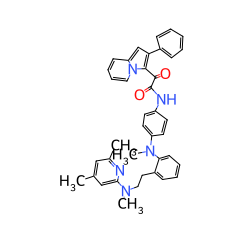 Cc1cc(C)nc(N(C)CCc2ccccc2N(C)c2ccc(NC(=O)C(=O)c3c(-c4ccccc4)cc4ccccn34)cc2)c1